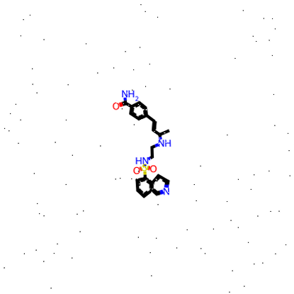 CC(C=Cc1ccc(C(N)=O)cc1)NCCNS(=O)(=O)c1cccc2cnccc12